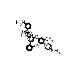 CC(C)c1ccccc1-c1cc(Oc2ccc(N3CCN(C)CC3)c(C(F)(F)F)c2)nc(NS(=O)(=O)c2cccc(N)c2)n1